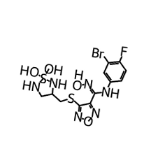 ON=C(Nc1ccc(F)c(Br)c1)c1nonc1SCC1CNS(O)(O)N1